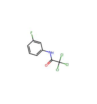 O=C(Nc1cccc(F)c1)C(Cl)(Cl)Cl